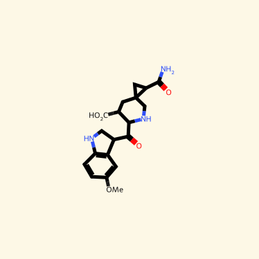 COc1ccc2c(c1)C(C(=O)C1NCC3(CC1C(=O)O)CC3C(N)=O)CN2